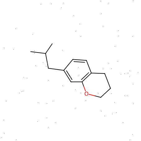 CC(C)Cc1ccc2c(c1)OCCC2